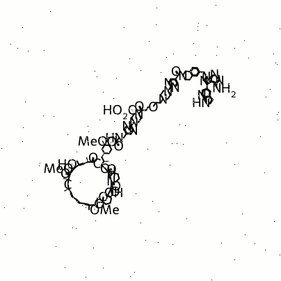 CO[C@H]1C[C@@H]2CCC[C@@](O)(O2)C(=O)C(=O)N2CCCC[C@H]2C(=O)O[C@H]([C@H](C)C[C@@H]2CC[C@@H](OC(=O)NCc3cnc(N4CCN(C(=O)CCOCCN5CCN(c6ncc(C(=O)N7CCc8cc(Cn9nc(-c%10cnc%11[nH]ccc%11c%10)c%10c(N)ncnc%109)ccc8C7)cn6)CC5)[C@@H](C(=O)O)C4)nc3)[C@H](OC)C2)CC(=O)[C@H](C)/C=C(\C)[C@@H](O)[C@@H](OC)C(=O)[C@H](C)C[C@H](C)/C=C/C=C/C=C/1C